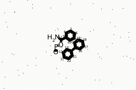 NC(OP=O)c1ccccc1.c1ccc(-c2ccccc2)cc1